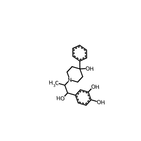 CC(C(O)c1ccc(O)c(O)c1)N1CCC(O)(c2ccccc2)CC1